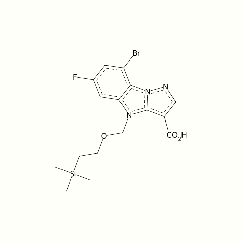 C[Si](C)(C)CCOCn1c2cc(F)cc(Br)c2n2ncc(C(=O)O)c12